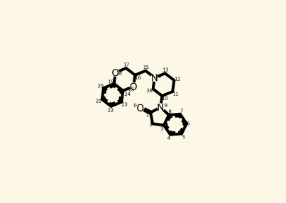 O=C1Cc2ccccc2N1C1CCCN(CC2COc3ccccc3O2)C1